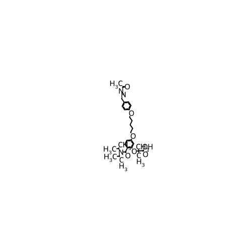 CC(=O)N=NCc1ccc(OCCCCCOc2ccc(C(=O)N(C(C)C)C(C)C)c(OC(C)(C)C(=O)O)c2)cc1